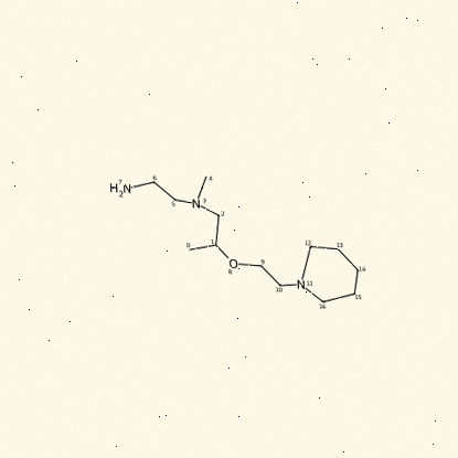 CC(CN(C)CCN)OCCN1CCCCC1